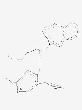 N#Cc1ccc(Cl)cc1OC(CCN)c1ccc2nccn2c1